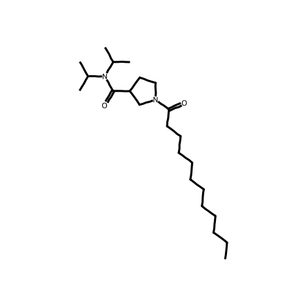 CCCCCCCCCCCC(=O)N1CCC(C(=O)N(C(C)C)C(C)C)C1